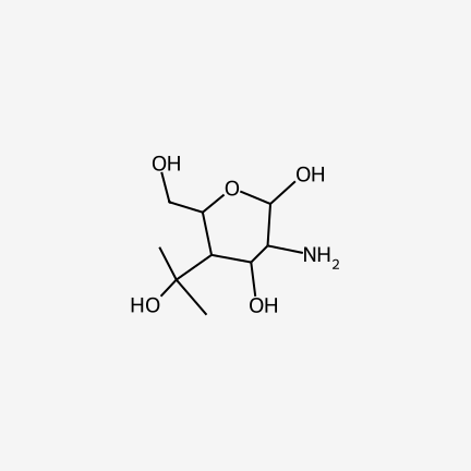 CC(C)(O)C1C(CO)OC(O)C(N)C1O